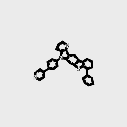 c1ccc(-c2cccc3c2sc2cc4c(cc23)c2ncccc2n4-c2ccc(-c3ccncc3)cc2)cc1